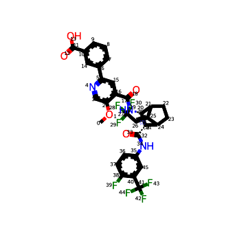 COc1cnc(-c2cccc(C(=O)O)c2)cc1C(=O)N[C@@H]1C2CCC(/C2=C/C(F)(F)F)[C@@H]1C(=O)Nc1ccc(F)c(C(F)(F)F)c1